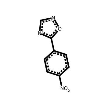 O=[N+]([O-])c1ccc(-c2ncno2)cc1